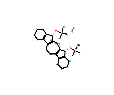 CC(C)(C)[Si](C)(C)O[C@@H]1C2=C(CCCC2)C2=[C]1[Hf+2][C]1=C(CC2)C2=C(CCCC2)[C@@H]1O[Si](C)(C)C(C)(C)C.[Cl-].[Cl-]